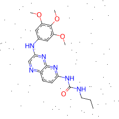 CCCNC(=O)Nc1ccc2ncc(Nc3cc(OC)c(OC)c(OC)c3)nc2n1